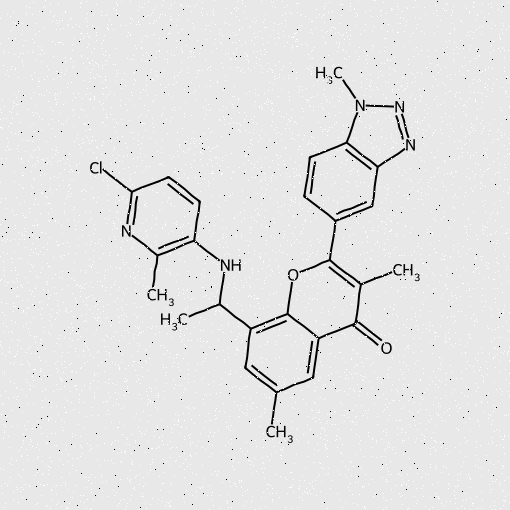 Cc1cc(C(C)Nc2ccc(Cl)nc2C)c2oc(-c3ccc4c(c3)nnn4C)c(C)c(=O)c2c1